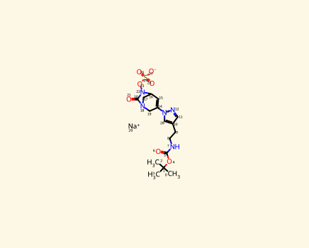 CC(C)(C)OC(=O)NCCc1cnn(C2=CC3CN(C2)C(=O)N3OS(=O)(=O)[O-])c1.[Na+]